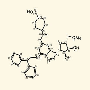 COC[C@H]1O[C@@H](n2cnc3c(NCC(c4ccccc4)c4ccccc4)nc(CNC4CCN(C(=O)O)CC4)nc32)[C@H](O)[C@@H]1O